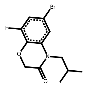 CC(C)CN1C(=O)COc2c(F)cc(Br)cc21